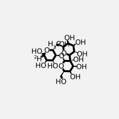 [2H]C1(O)O[C@H](CO)[C@@H](O[C@@H]2O[C@H](CO)[C@H](O)[C@H](O)[C@]2(O)C2O[C@@H](C)[C@@H](O)[C@@H](O)[C@@H]2O)[C@H](O)[C@H]1O